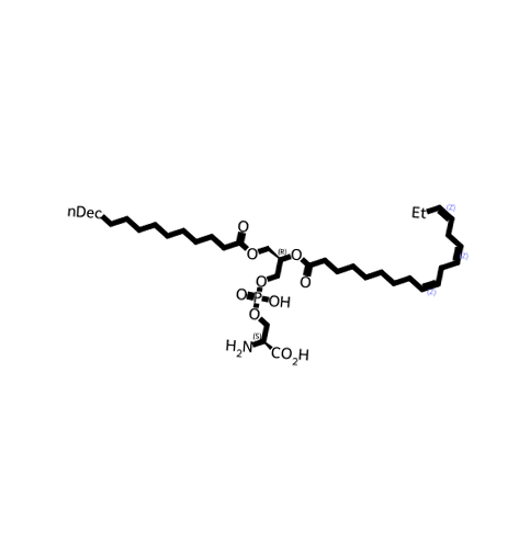 CC/C=C\C/C=C\C/C=C\CCCCCCCC(=O)O[C@H](COC(=O)CCCCCCCCCCCCCCCCCCC)COP(=O)(O)OC[C@H](N)C(=O)O